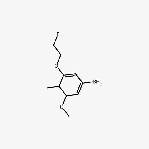 BC1=CC(OC)C(C)C(OCCF)=C1